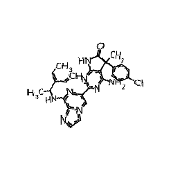 C=C/C(=C\C)C(C)Nc1nc(-c2nc(N)c3c(n2)NC(=O)C3(C)c2ccc(Cl)cc2)cn2ccnc12